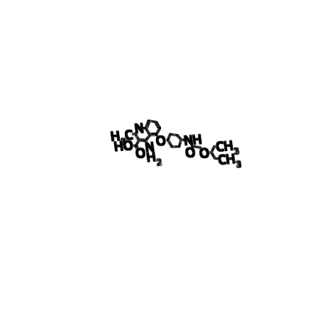 CCC(CC)OCC(=O)N[C@H]1CC[C@H](Oc2cccc3nc(C)c(C(=O)O)c(N)c23)CC1